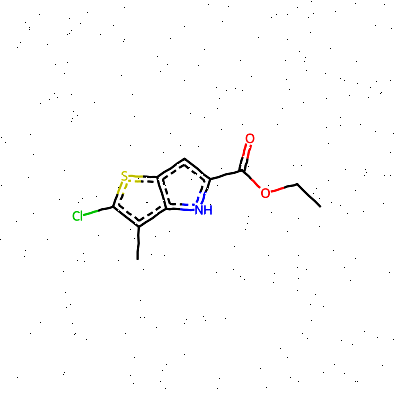 CCOC(=O)c1cc2sc(Cl)c(C)c2[nH]1